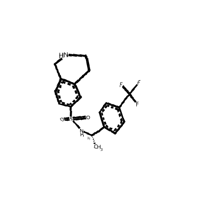 C[C@H](NS(=O)(=O)c1ccc2c(c1)CCNC2)c1ccc(C(F)(F)F)cc1